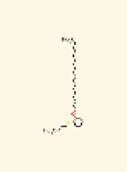 O=C(O)CCCCCCCCCCCCCCCCCOc1ccccc1SCCCC(=O)O